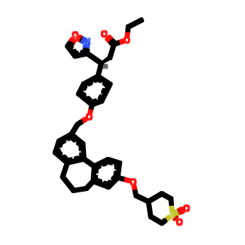 CCOC(=O)C[C@@H](c1ccc(OCc2ccc3c(c2)-c2ccc(OCC4CCS(=O)(=O)CC4)cc2CCC3)cc1)c1ccon1